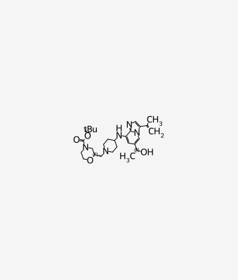 C=C(C)c1cnc2c(NC3CCN(C[C@@H]4CN(C(=O)OC(C)(C)C)CCO4)CC3)cc([C@@H](C)O)cn12